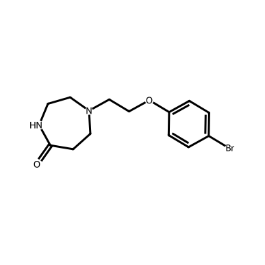 O=C1CCN(CCOc2ccc(Br)cc2)CCN1